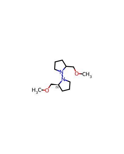 COCC1CCCN1N1CCC[C@H]1COC